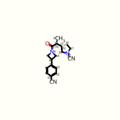 C[C@H](C(=O)N1CC(c2ccc(C#N)cc2)C1)[C@@H]1CCN(C#N)C1